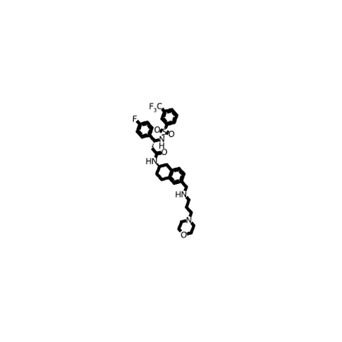 O=C(C[C@@H](NS(=O)(=O)c1cccc(C(F)(F)F)c1)c1ccc(F)cc1)N[C@@H]1CCc2cc(CNCCCN3CCOCC3)ccc2C1